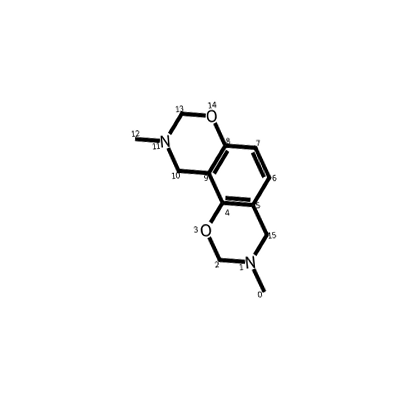 CN1COc2c(ccc3c2CN(C)CO3)C1